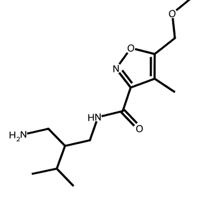 COCc1onc(C(=O)NCC(CN)C(C)C)c1C